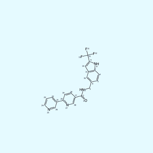 O=C(NCc1ccc2[nH]c(C(F)(F)F)cc2c1)c1ccc(-c2cccnc2)nc1